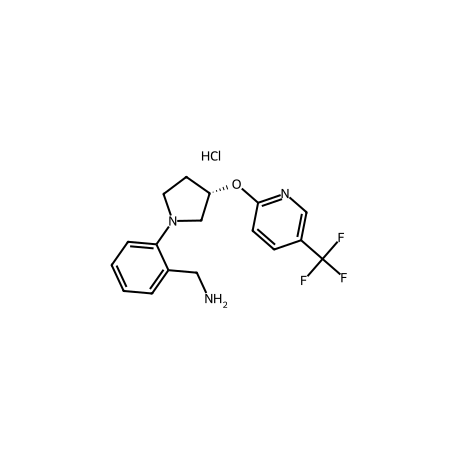 Cl.NCc1ccccc1N1CC[C@H](Oc2ccc(C(F)(F)F)cn2)C1